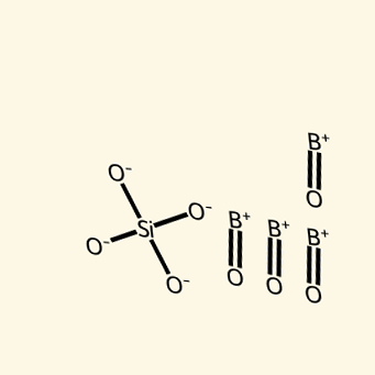 [B+]=O.[B+]=O.[B+]=O.[B+]=O.[O-][Si]([O-])([O-])[O-]